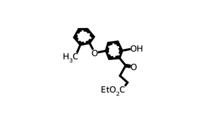 CCOC(=O)CCC(=O)c1cc(Oc2ccccc2C)ccc1O